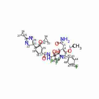 CCOc1c(CC(N)=O)cc([C@@](O)(CNC(=O)c2ccc(-c3cnc(C4CC4)nc3)c(OC3CC3)c2)C(F)(F)F)nc1-c1ccc(F)cc1